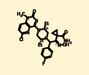 CC[C@H]1CN(C(/C(=N/O)C2(C(N)=O)CC2)c2ccc(F)cc2)[C@H](CC)CN1c1nc(=O)n(C)c2ccc(Cl)nc12